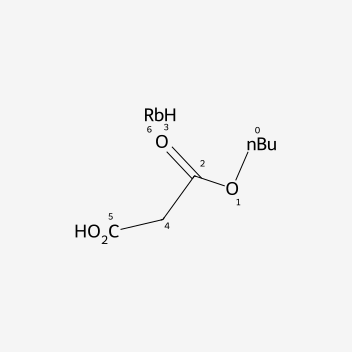 CCCCOC(=O)CC(=O)O.[RbH]